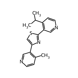 Cc1ccncc1-c1csc(-c2cnccc2C(C)C)n1